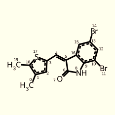 Cc1cc(C=C2C(=O)Nc3c(Br)cc(Br)cc32)sc1C